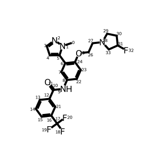 Cn1nccc1-c1cc(NC(=O)c2cccc(C(F)(F)F)c2)ccc1OCCN1CCC(F)C1